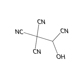 N#CC(O)C(C#N)(C#N)C#N